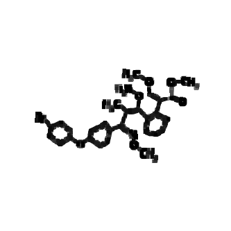 COC=C(C(=O)OC)c1ccccc1C(ON)=C(C)C(=NOC)c1ccc(Oc2ccc(Br)cc2)cc1